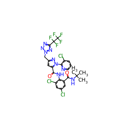 CC(C)(C)NC(=O)c1cc(Cl)cc(Cl)c1NC(=O)c1cc(Cn2nnc(C(F)(F)C(F)(F)F)n2)nn1-c1ncccc1Cl